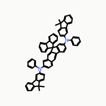 CC1(C)c2ccccc2-c2cc(N(c3ccccc3)c3ccc4c(c3)C3(c5ccccc5-c5ccccc53)c3cc5cc(N(c6ccccc6)c6ccc7c(c6)-c6ccccc6C7(C)C)ccc5cc3-4)ccc21